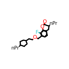 CCCC1CCC(CCOCc2ccc3c(c2F)OC(=O)C(CCC)C3)CC1